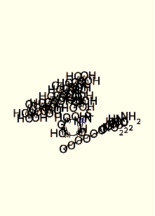 C(COCCOCC1CO1)OCCOCC1CO1.C/C(=C\c1csc(C)n1)[C@@H]1C[C@@H]2O[C@]2(C)CCC[C@H](C)[C@H](O)[C@@H](C)C(=O)C(C)(C)[C@@H](O)CC(O)=N1.NC(=O)NO.O=[N+]([O-])[O-].O=[N+]([O-])[O-].O=[N+]([O-])[O-].OC[C@H]1O[C@@H](OC[C@H]2O[C@@H](O)[C@H](O)[C@@H](O[C@@H]3O[C@H](CO)[C@@H](O)[C@H](O[C@@H]4O[C@H](CO)[C@@H](O)[C@H](O[C@@H]5O[C@H](CO[C@@H]6O[C@H](CO)[C@@H](O)[C@H](O)[C@H]6O)[C@@H](O)[C@H](O[C@@H]6O[C@H](CO)[C@@H](O)[C@H](O)[C@H]6O)[C@H]5O)[C@H]4O)[C@H]3O)[C@@H]2O)[C@H](O)[C@@H](O)[C@@H]1O.[Ga+3]